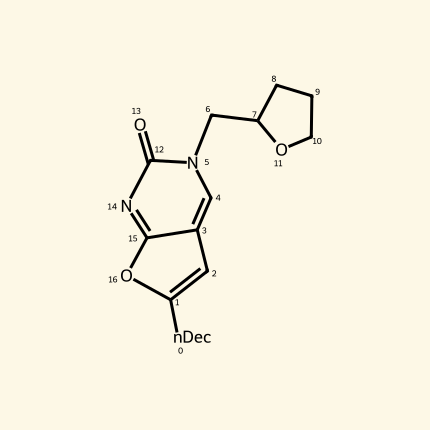 CCCCCCCCCCc1cc2cn(CC3CCCO3)c(=O)nc2o1